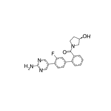 Nc1ncc(-c2ccc(-c3ccccc3C(=O)N3CC[C@@H](O)C3)cc2F)cn1